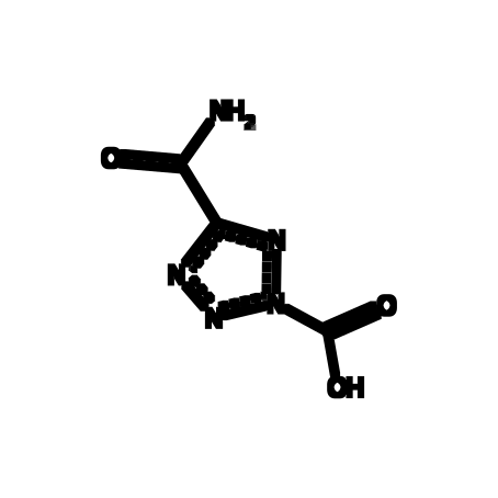 NC(=O)c1nnn(C(=O)O)n1